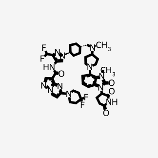 CN(C[C@H]1CC[C@H](n2cc(NC(=O)c3cnn4ccc(N5CCC(F)(F)CC5)nc34)c(C(F)F)n2)CC1)C1CCN(c2cccc3c2n(C)c(=O)n3C2CCC(=O)NC2=O)CC1